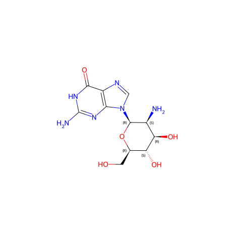 Nc1nc2c(ncn2[C@@H]2O[C@H](CO)[C@@H](O)[C@H](O)[C@@H]2N)c(=O)[nH]1